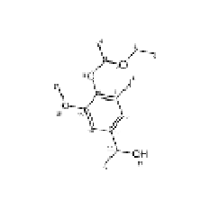 CCOC(C)Oc1c(I)cc(C(C)O)cc1OC